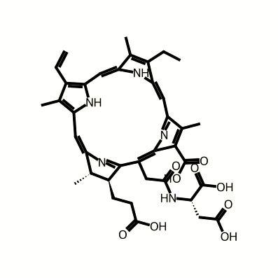 C=Cc1c(C)c2cc3nc(c(CC(=O)N[C@@H](CC(=O)O)C(=O)O)c4nc(cc5[nH]c(cc1[nH]2)c(C)c5CC)C(C)=C4C(=O)O)[C@@H](CCC(=O)O)[C@@H]3C